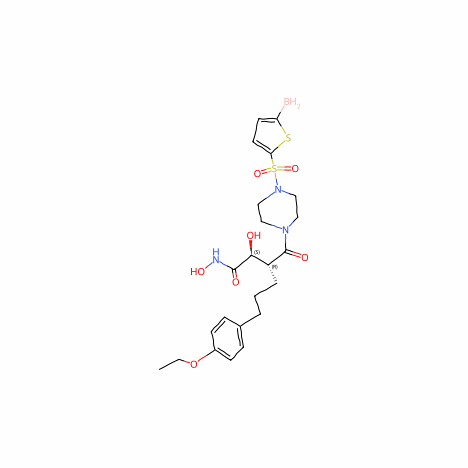 Bc1ccc(S(=O)(=O)N2CCN(C(=O)[C@H](CCCc3ccc(OCC)cc3)[C@H](O)C(=O)NO)CC2)s1